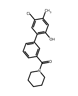 Cc1cc(O)c(-c2cccc(C(=O)N3CCCCC3)c2)cc1Cl